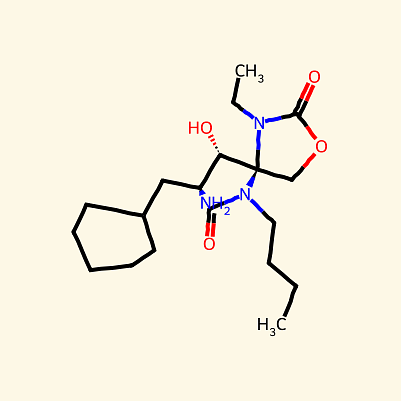 CCCCN(C=O)[C@]1([C@@H](O)[C@@H](N)CC2CCCCC2)COC(=O)N1CC